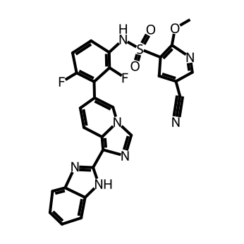 COc1ncc(C#N)cc1S(=O)(=O)Nc1ccc(F)c(-c2ccc3c(-c4nc5ccccc5[nH]4)ncn3c2)c1F